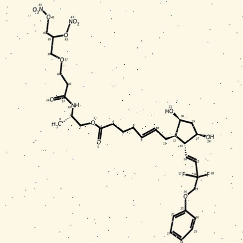 C[C@@H](COC(=O)CCCC=CC[C@@H]1[C@@H](C=CC(F)(F)COc2ccccc2)[C@H](O)C[C@@H]1O)NC(=O)CCOCC(CO[N+](=O)[O-])O[N+](=O)[O-]